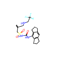 C=C(CNCC(F)(F)F)CS(=O)(=O)NC(=O)Nc1c2c(cc3c1CCC3)CCC2